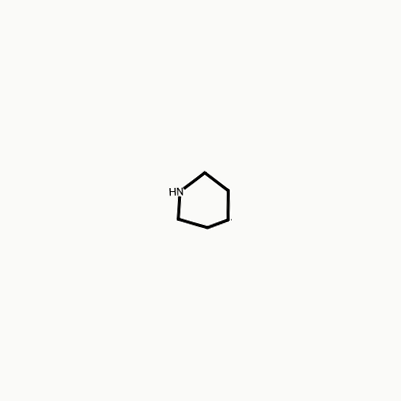 [CH]1CCNCC1